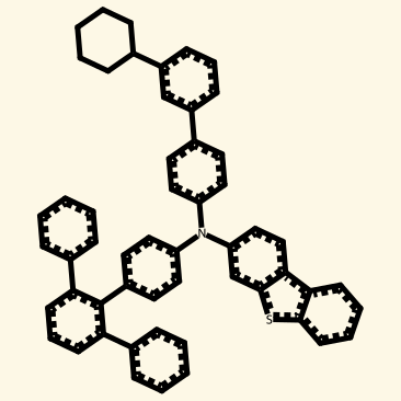 c1ccc(-c2cccc(-c3ccccc3)c2-c2ccc(N(c3ccc(-c4cccc(C5CCCCC5)c4)cc3)c3ccc4c(c3)sc3ccccc34)cc2)cc1